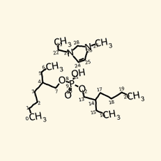 CCCCC(CC)COP(=O)(O)OCC(CC)CCCC.CCN1C=CN(C)C1